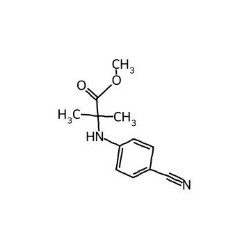 COC(=O)C(C)(C)Nc1ccc(C#N)cc1